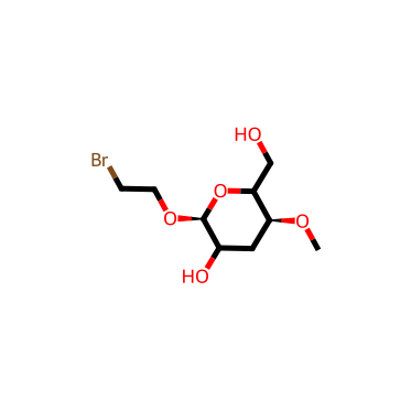 CO[C@H]1CC(O)[C@@H](OCCBr)OC1CO